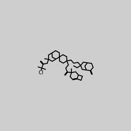 C=C1CCC2CC1CC(CC)(CCCC1(CCC(=C)C3(C)CC=C4CCC4C3)CCC3(CCC4CC3CC(C)(CC(=C)C(C)(C)Cl)C4)CC1)C2